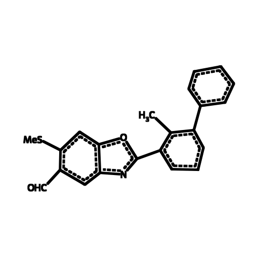 CSc1cc2oc(-c3cccc(-c4ccccc4)c3C)nc2cc1C=O